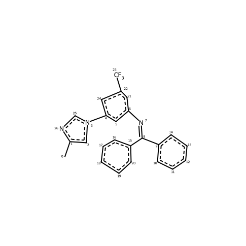 Cc1cn(-c2cc(N=C(c3ccccc3)c3ccccc3)cc(C(F)(F)F)c2)cn1